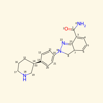 NC(=O)C1=CC=CC2CN(c3ccc([C@@H]4CCCNC4)cc3)N=C12